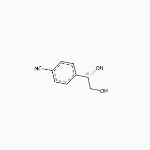 N#Cc1ccc([C@H](O)CO)cc1